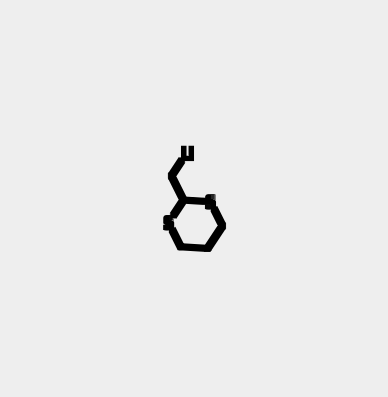 [Li][CH2]C1SCCCS1